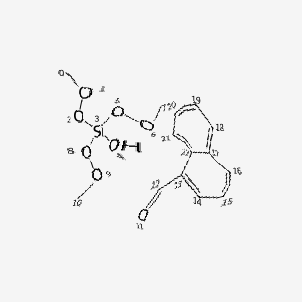 COO[Si](O)(OOC)OOC.O=Cc1cccc2ccccc12